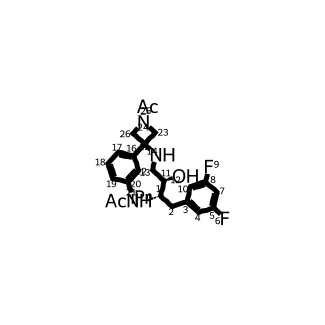 CC(=O)N[C@@H](Cc1cc(F)cc(F)c1)[C@H](O)CNC1(c2cccc(C(C)C)c2)CN(C(C)=O)C1